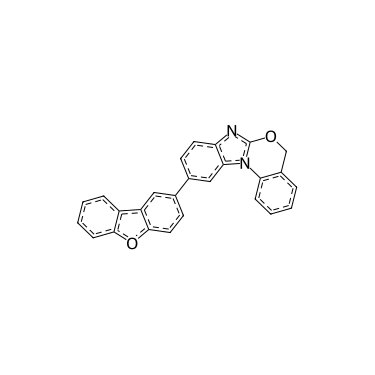 c1ccc2c(c1)COc1nc3ccc(-c4ccc5oc6ccccc6c5c4)cc3n1-2